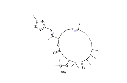 C/C1=C/CCC(/C(C)=C/c2csc(C)n2)OC(=O)CC(O[Si](C)(C)C(C)(C)C)C(C)(C)C(=O)C(C)C(C)C(C)CCC1